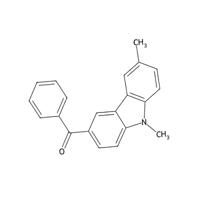 Cc1ccc2c(c1)c1cc(C(=O)c3ccccc3)ccc1n2C